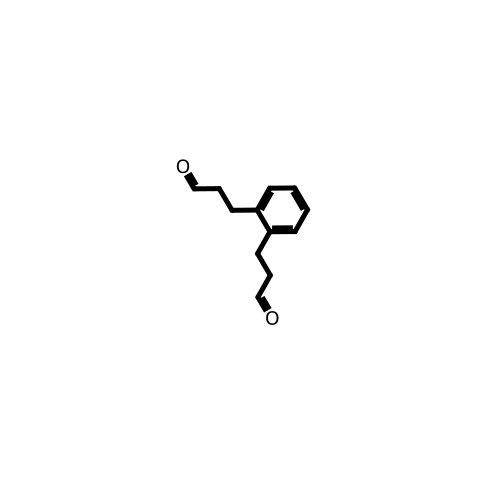 O=CCCc1ccccc1CCC=O